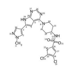 Cn1cc(-c2cc3c(N4CCC(NS(=O)(=O)c5cc(Cl)c(Cl)s5)CC4)ncnc3[nH]2)cn1